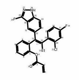 C=CC(=O)Oc1ccccc1/C(=C(\CC)c1ccc(F)cc1Cl)c1ccc2[nH]nc(F)c2c1